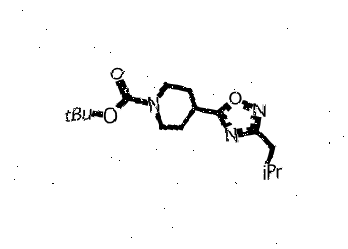 CC(C)Cc1noc(C2CCN(C(=O)OC(C)(C)C)CC2)n1